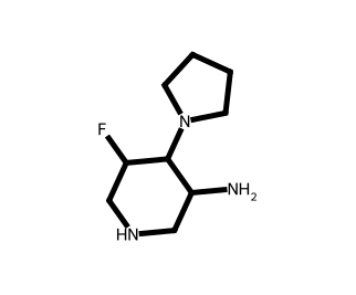 NC1CNCC(F)C1N1CCCC1